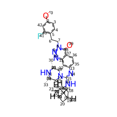 COc1ccc(CCn2nnc3cc(N=C(N[C@H]4C[C@@H]5C[C@@H]([C@H]4C)C5(C)C)N4C[C@@H](C)N[C@@H](C)C4)ccc3c2=O)c(F)c1